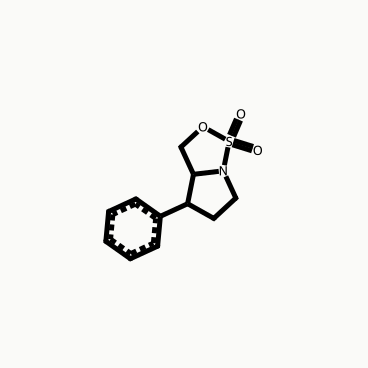 O=S1(=O)OCC2C(c3ccccc3)CCN21